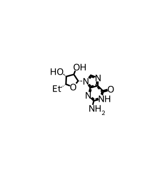 CC[C@H]1O[C@@H](n2cnc3c(=O)[nH]c(N)nc32)C(O)[C@H]1O